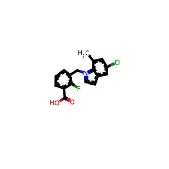 Cc1cc(Cl)cc2ccn(Cc3cccc(C(=O)O)c3F)c12